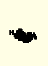 CC[C@@]1(O)C(=O)OCc2c1cc1n(c2=O)Cc2c-1nc1cc(F)c(C)c(-c3ccsc3)c1c2CN